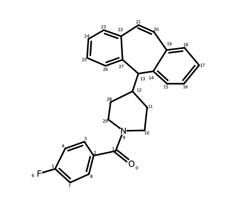 O=C(c1ccc(F)cc1)N1CCC(C2c3ccccc3C=Cc3ccccc32)CC1